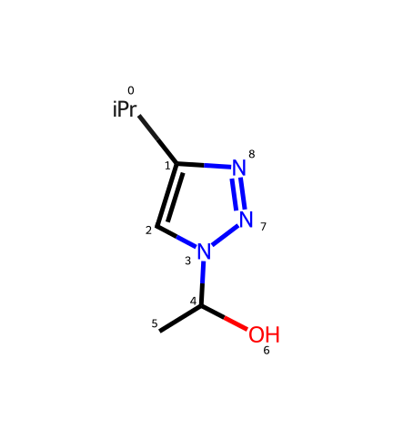 CC(C)c1cn(C(C)O)nn1